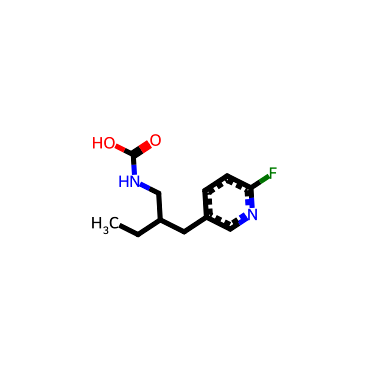 CCC(CNC(=O)O)Cc1ccc(F)nc1